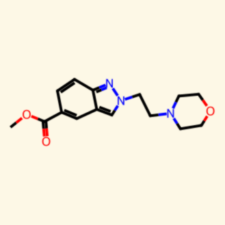 COC(=O)c1ccc2nn(CCN3CCOCC3)cc2c1